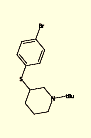 CC(C)(C)N1CCCC(Sc2ccc(Br)cc2)C1